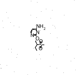 CCC(COc1nccc(N)n1)S(C)(=O)=O